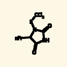 CCCC1C(=O)NC(=O)N1SC(Cl)(Cl)Cl